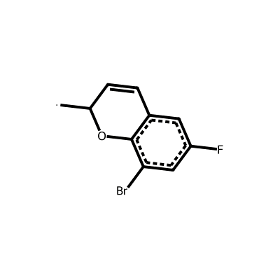 [CH2]C1C=Cc2cc(F)cc(Br)c2O1